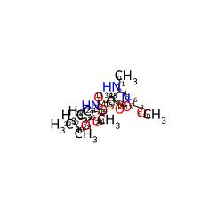 CCN[C@H]1CN(CCCOC)S(=O)(=O)c2sc(S(=O)(=O)NC(C)(CC)C(=O)[C@H](C)OC(C)CC)cc21